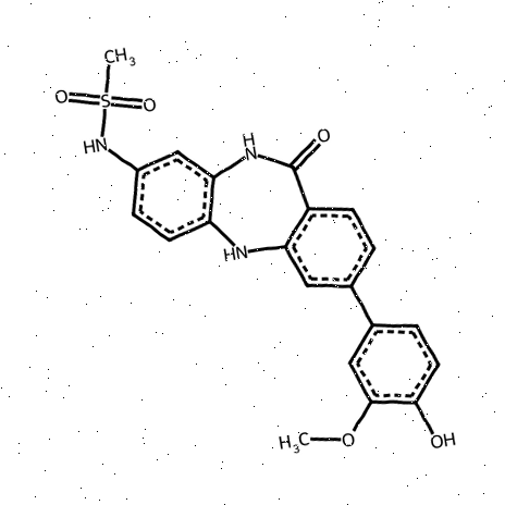 COc1cc(-c2ccc3c(c2)Nc2ccc(NS(C)(=O)=O)cc2NC3=O)ccc1O